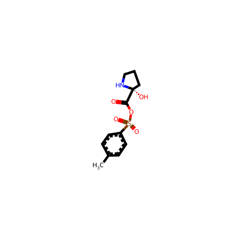 Cc1ccc(S(=O)(=O)OC(=O)[C@]2(O)CCCN2)cc1